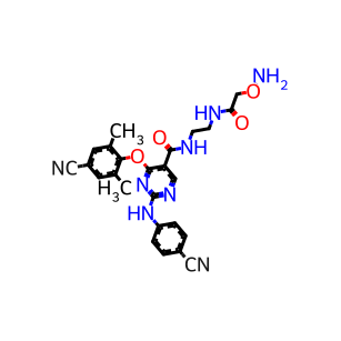 Cc1cc(C#N)cc(C)c1Oc1nc(Nc2ccc(C#N)cc2)ncc1C(=O)NCCNC(=O)CON